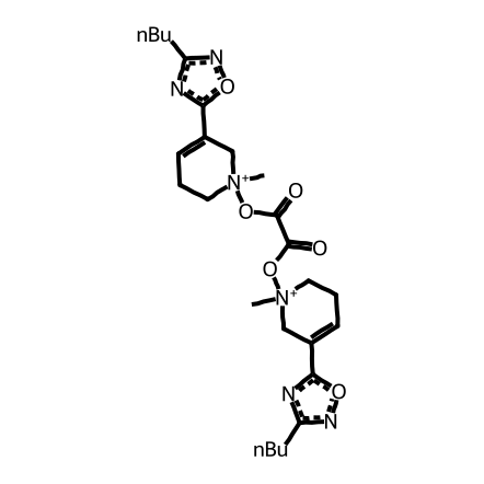 CCCCc1noc(C2=CCC[N+](C)(OC(=O)C(=O)O[N+]3(C)CCC=C(c4nc(CCCC)no4)C3)C2)n1